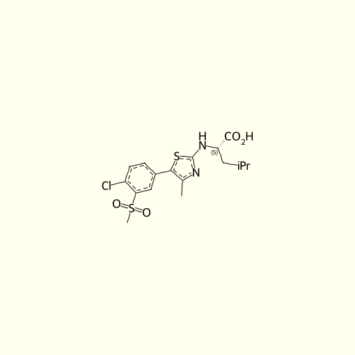 Cc1nc(N[C@@H](CC(C)C)C(=O)O)sc1-c1ccc(Cl)c(S(C)(=O)=O)c1